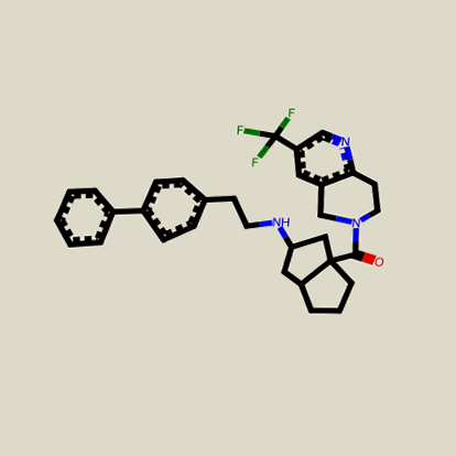 O=C(N1CCc2ncc(C(F)(F)F)cc2C1)C12CCCC1CC(NCCc1ccc(-c3ccccc3)cc1)C2